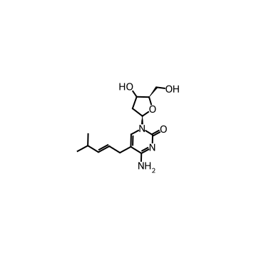 CC(C)C=CCc1cn([C@H]2CC(O)[C@@H](CO)O2)c(=O)nc1N